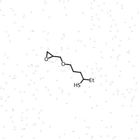 [CH2]CC(S)CCCOCC1CO1